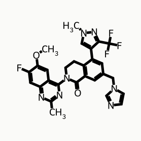 COc1cc2c(N3CCc4c(cc(Cn5ccnc5)cc4-c4cn(C)nc4C(F)(F)F)C3=O)nc(C)nc2cc1F